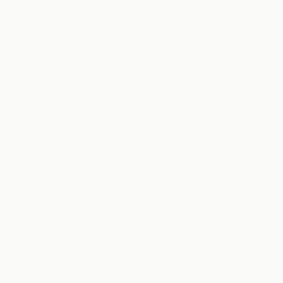 CC(C)C(C)[CH]c1ccccc1